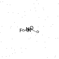 C/C(=N\c1ncc(-c2ccc(F)cc2)cc1C)C(=O)CCCCCc1ccccc1